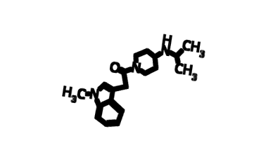 CC(C)NC1CCN(C(=O)Cc2cn(C)c3ccccc23)CC1